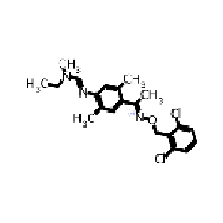 CCN(C)C=Nc1cc(C)c(/C(C)=N/OCc2c(Cl)cccc2Cl)cc1C